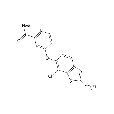 CCOC(=O)c1cc2ccc(Oc3ccnc(C(=O)NC)c3)c(Cl)c2s1